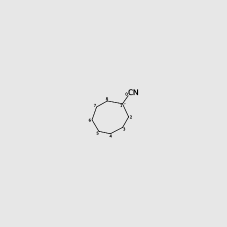 N#C[C]1CCCCCCC1